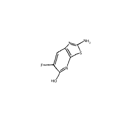 Nc1nc2cc(F)c(O)nc2s1